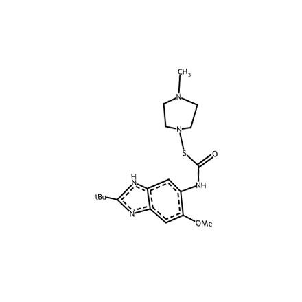 COc1cc2nc(C(C)(C)C)[nH]c2cc1NC(=O)SN1CCN(C)CC1